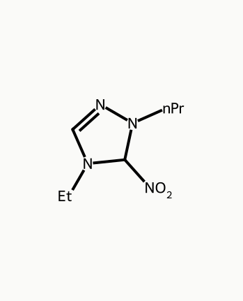 CCCN1N=CN(CC)C1[N+](=O)[O-]